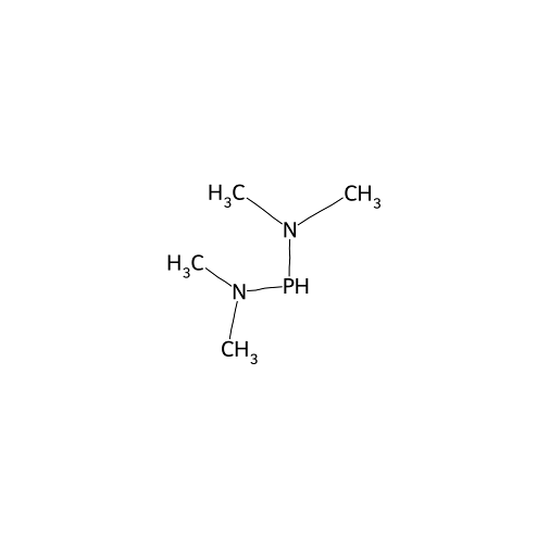 CN(C)PN(C)C